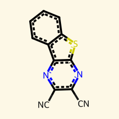 N#Cc1nc2sc3ccccc3c2nc1C#N